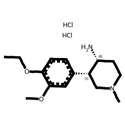 CCOc1ccc([C@H]2CN(C)CC[C@H]2N)cc1OC.Cl.Cl